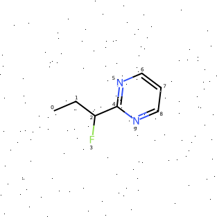 CCC(F)c1ncccn1